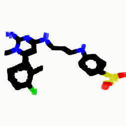 Cc1c(Cl)cccc1C1=CC(NCCCNc2ccc([SH](=O)=O)cc2)=NC(N)N1C